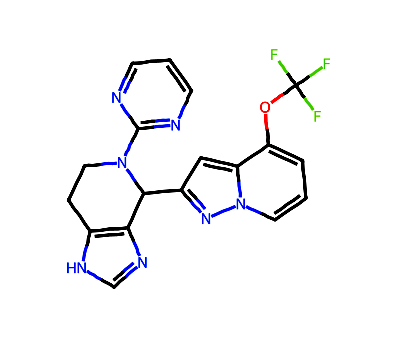 FC(F)(F)Oc1cccn2nc(C3c4nc[nH]c4CCN3c3ncccn3)cc12